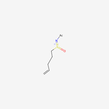 C=CCCC/[SH](=O)=N/C(C)=O